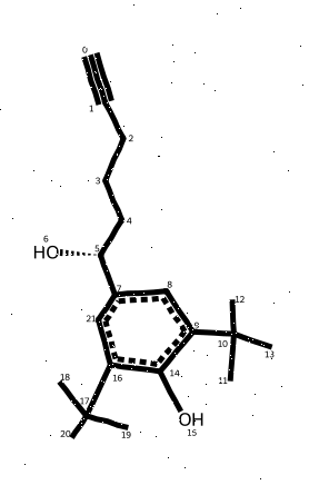 C#CCCC[C@@H](O)c1cc(C(C)(C)C)c(O)c(C(C)(C)C)c1